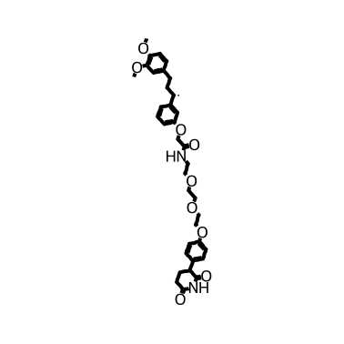 COc1ccc(CC[CH]c2cccc(OCC(=O)NCCOCCOCCOc3ccc(C4CCC(=O)NC4=O)cc3)c2)cc1OC